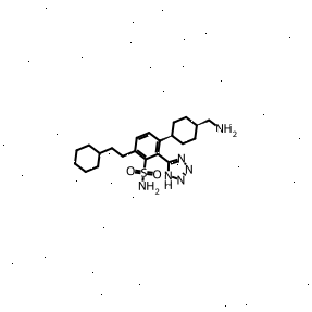 NC[C@H]1CC[C@@H](c2ccc(CCC3CCCCC3)c(S(N)(=O)=O)c2-c2nnn[nH]2)CC1